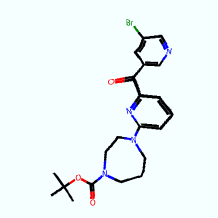 CC(C)(C)OC(=O)N1CCCN(c2cccc(C(=O)c3cncc(Br)c3)n2)CC1